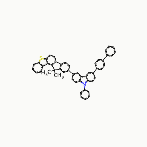 CC1(C)c2cc(-c3ccc4c(c3)c3cc(-c5ccc(-c6ccccc6)cc5)ccc3n4-c3ccccc3)ccc2-c2ccc3sc4ccccc4c3c21